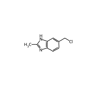 Cc1nc2ccc(CCl)cc2[nH]1